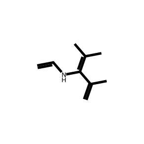 C=CNC(C(=C)C)=C(C)C